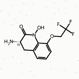 N[C@H]1Cc2cccc(OCC(F)(F)F)c2N(O)C1=O